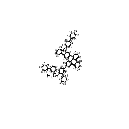 CCc1c(-c2ccc(-c3ccccc3)cc2)cc(-c2ccc3c(c2)c2ccccc2c2cccc(-c4ccc5c6ccccc6n(-c6ccc(-c7ccccc7)cc6)c5c4)c23)nc1-c1ccccc1